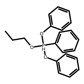 CCCO[PH](Oc1ccccc1)(Oc1ccccc1)c1ccccc1